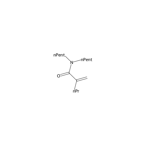 C=C(CCC)C(=O)N(CCCCC)CCCCC